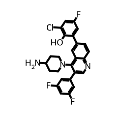 NC1CCN(c2c(-c3cc(F)cc(F)c3)cnc3ccc(-c4cc(F)cc(Cl)c4O)cc23)CC1